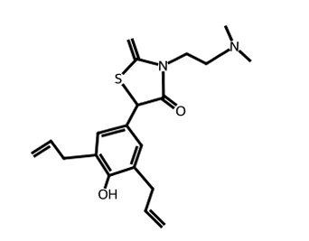 C=CCc1cc(C2SC(=C)N(CCN(C)C)C2=O)cc(CC=C)c1O